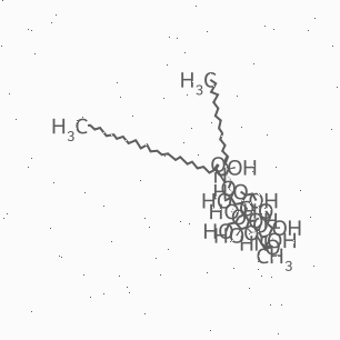 CCCCCCCCCCCCC/C=C/[C@@H](O)[C@H](CO[C@@H]1OC(CO)[C@@H](O[C@@H]2OC(CO)[C@H](O)[C@H](O[C@@H]3OC(CO)[C@@H](O)[C@H](O)C3NC(C)=O)C2O)[C@H](O)C1O)NC(=O)CCCCCCCCCCCCCCCCCCCCCCC